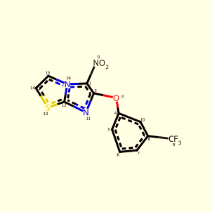 O=[N+]([O-])c1c(Oc2cccc(C(F)(F)F)c2)nc2sccn12